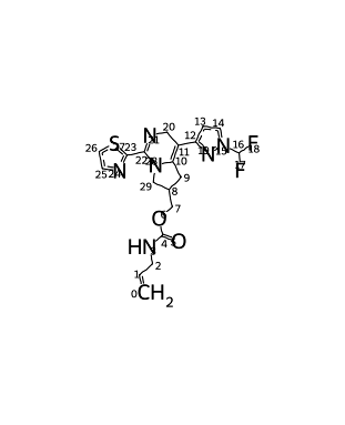 C=CCNC(=O)OCC1CC2=C(c3ccn(C(F)F)n3)CN=C(c3nccs3)N2C1